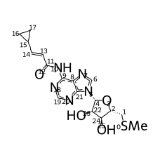 CSC[C@H]1O[C@@H](n2cnc3c(NC(=O)/C=C/C4CC4)ncnc32)[C@H](O)[C@@H]1O